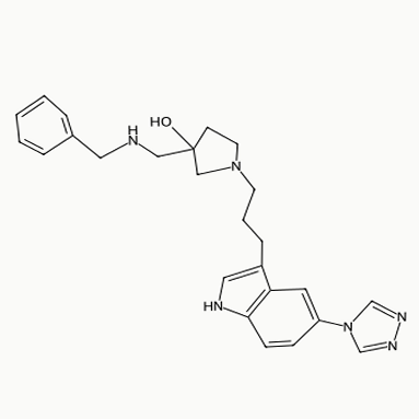 OC1(CNCc2ccccc2)CCN(CCCc2c[nH]c3ccc(-n4cnnc4)cc23)C1